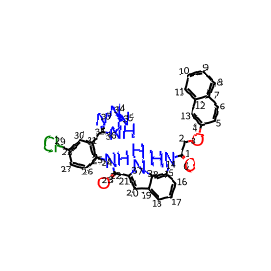 O=C(COc1ccc2ccccc2c1)Nc1cccc2cc(C(=O)Nc3ccc(Cl)cc3-c3nnn[nH]3)[nH]c12